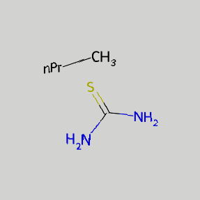 CCCC.NC(N)=S